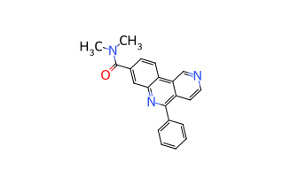 CN(C)C(=O)c1ccc2c(c1)nc(-c1ccccc1)c1ccncc12